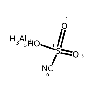 N#CS(=O)(=O)O.[AlH3]